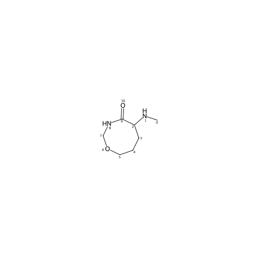 CNC1CCCOCNC1=O